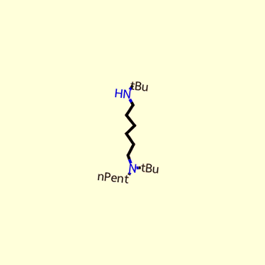 CCCCCN(CCCCCCNC(C)(C)C)C(C)(C)C